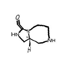 O=C1NC[C@H]2CNCCN12